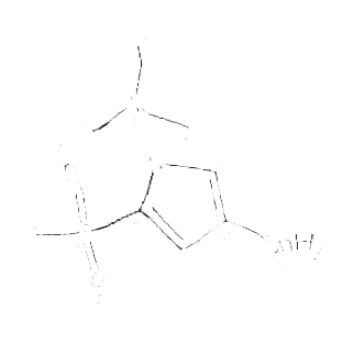 CN(C)C.CS(=O)(=O)c1c[c]([SnH3])cs1